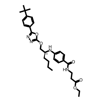 CCCC[C@@H](COc1nnc(-c2ccc(C(C)(C)C)cc2)o1)Nc1ccc(C(=O)NCCC(=O)OCC)cc1